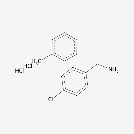 Cc1ccccc1.Cl.Cl.NCc1ccc(Cl)cc1